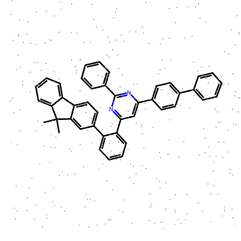 CC1(C)c2ccccc2-c2ccc(-c3ccccc3-c3cc(-c4ccc(-c5ccccc5)cc4)nc(-c4ccccc4)n3)cc21